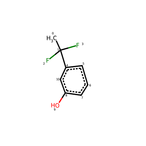 CC(F)(F)c1cccc(O)c1